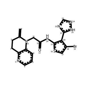 C=C1CCc2ncccc2N1CC(=O)Nc1scc(Br)c1-c1ncn[nH]1